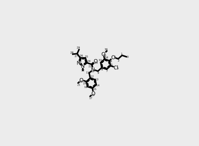 CCCOc1c(Cl)cc(CN(Cc2ccc(OC)cc2OC)C(=O)c2cc(C(C)C)nn2C)cc1OC